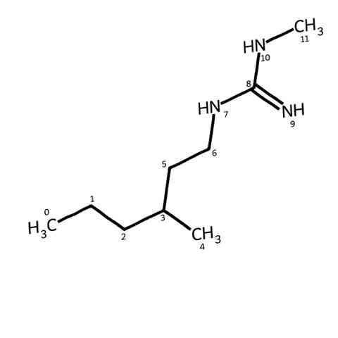 CCCC(C)CCNC(=N)NC